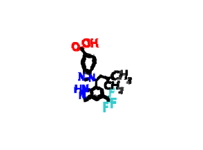 CC(C)CC(c1cc(C(F)(F)F)cc2cn[nH]c12)n1cnc2cc(C(=O)O)ccc21